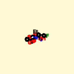 CCc1cc(-c2ccc(F)cc2)c(O)cc1OCCCOc1ccccc1C(CC(N)=O)S(C)(=O)=O